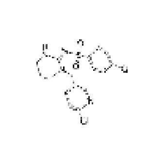 O=S(=O)(N=C1NCCCN1Cc1ccc(Cl)nc1)c1ccc(Cl)cc1